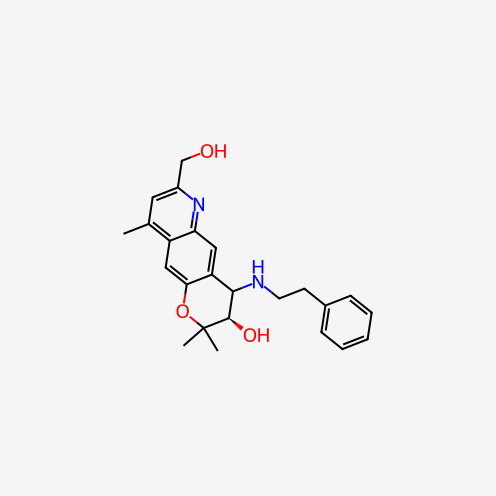 Cc1cc(CO)nc2cc3c(cc12)OC(C)(C)[C@H](O)C3NCCc1ccccc1